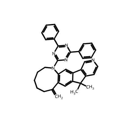 C=C1CCCCCN(c2nc(-c3ccccc3)nc(-c3ccccc3)n2)c2cc3c(cc21)C(C)(C)c1ccncc1-3